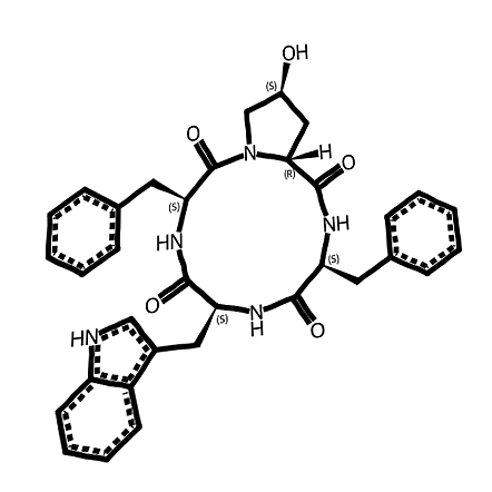 O=C1N[C@@H](Cc2ccccc2)C(=O)N2C[C@@H](O)C[C@@H]2C(=O)N[C@@H](Cc2ccccc2)C(=O)N[C@H]1Cc1c[nH]c2ccccc12